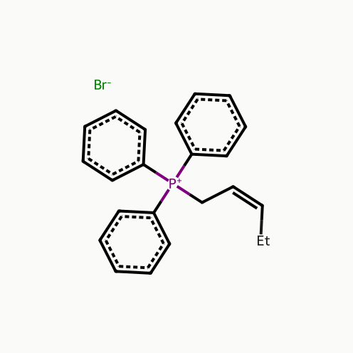 CC/C=C\C[P+](c1ccccc1)(c1ccccc1)c1ccccc1.[Br-]